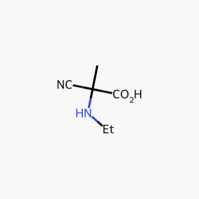 CCNC(C)(C#N)C(=O)O